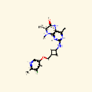 Cc1nc(NC2CC(COc3cnc(C#N)c(F)c3)C2)nc2c1NC(=O)[C@H](C(C)C)N2C